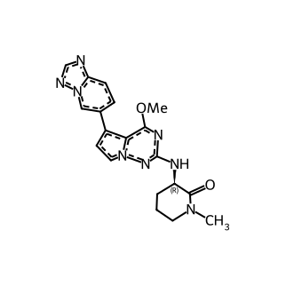 COc1nc(N[C@@H]2CCCN(C)C2=O)nn2ccc(-c3ccc4ncnn4c3)c12